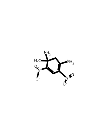 CC1(N)CC(N)=C([N+](=O)[O-])C=C1[N+](=O)[O-]